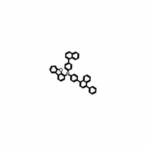 c1ccc(-c2ccc(-c3ccc(N(c4ccc(-c5cccc6ccccc56)cc4)c4cccc5c4oc4ccccc45)cc3)c3ccccc23)cc1